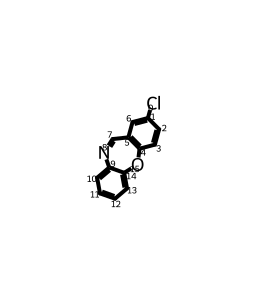 Clc1ccc2c(c1)C=Nc1ccccc1O2